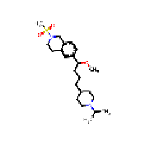 COC(CCCC1CCN(C(C)C)CC1)c1ccc2c(c1)CCN(S(C)(=O)=O)C2